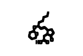 CCCCCC(/C=C/C1CCC(=O)C1CC(=O)O)OC1CCCCO1